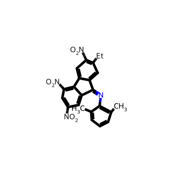 CCc1cc2c(cc1[N+](=O)[O-])-c1c(cc([N+](=O)[O-])cc1[N+](=O)[O-])C2=Nc1c(C)cccc1C